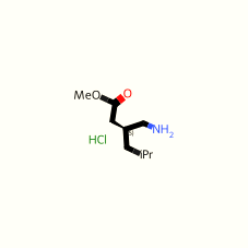 COC(=O)C[C@@H](CN)CC(C)C.Cl